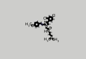 COc1ccc(/C=C/c2nc(-c3ccc(Cl)cc3Cl)cn2CC(=O)NCCCN(C)C)cc1